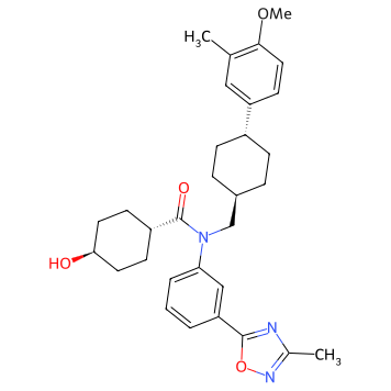 COc1ccc([C@H]2CC[C@H](CN(c3cccc(-c4nc(C)no4)c3)C(=O)[C@H]3CC[C@H](O)CC3)CC2)cc1C